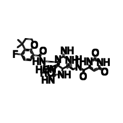 CC1(C)CCOc2c(C(=O)NC3CN4C(=N)N[C@@H](CNC(=O)c5cc(=O)[nH]c(=O)[nH]5)C5NC(=N)NC54C3(O)O)ccc(F)c21